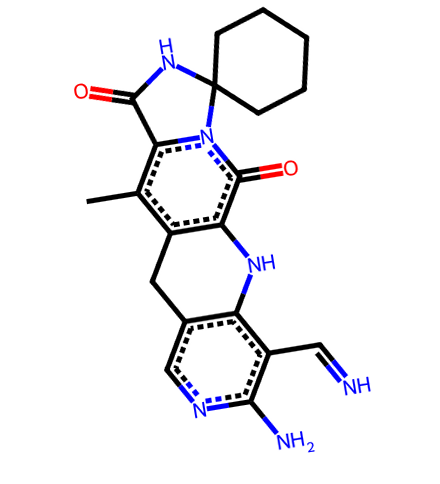 Cc1c2c(c(=O)n3c1C(=O)NC31CCCCC1)Nc1c(cnc(N)c1C=N)C2